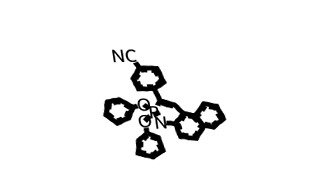 N#Cc1ccc(C2=Cc3c(ccc4ccccc34)N=P2(Oc2ccccc2)Oc2ccccc2)cc1